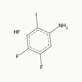 F.Nc1cc(F)c(F)cc1I